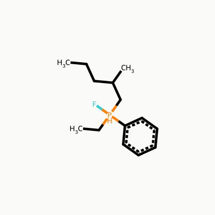 CCCC(C)C[PH](F)(CC)c1ccccc1